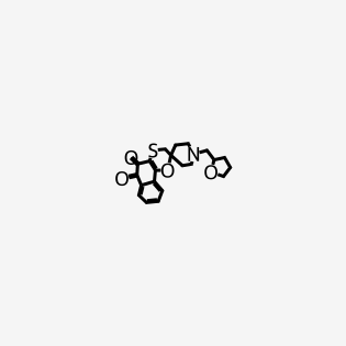 O=C1C(=O)c2ccccc2C2=C1SCC1(CCN(CC3CCCO3)CC1)O2